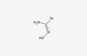 [2H]/C(N)=N/O